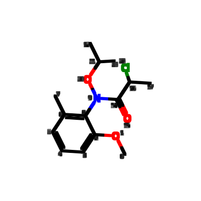 COc1cccc(C)c1N(OC(C)C)C(=O)C(C)Cl